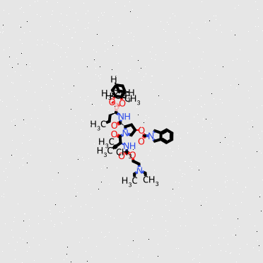 CCC[C@H](NC(=O)[C@@H]1C[C@@H](OC(=O)N2Cc3ccccc3C2)CN1C(=O)[C@@H](NC(=O)OCCN(CC)CC)C(C)(C)C)B1O[C@@H]2C[C@@H]3C[C@@H](C3(C)C)[C@]2(C)O1